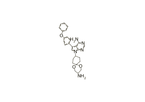 Nc1ncnc2c1c(-c1ccc(Oc3ccccc3)cc1)cn2C1CCC2(CC1)OCC(N)CO2